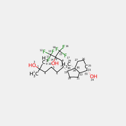 CC(C)(O)CCCC(CC(O)(C(F)(F)F)C(F)(F)F)[C@H]1CCC2[C@@H](O)CCC[C@@]21C